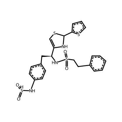 O=[SH](=O)Nc1ccc(C[C@H](NS(=O)(=O)CCc2ccccc2)C2=CSC(c3cccs3)N2)cc1